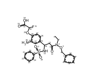 CCN(OCc1ccccc1)C(=O)CC(NS(=O)(=O)c1ccccc1)c1ccc(OC(F)C(=O)O)c(N)c1